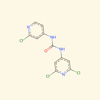 O=C(Nc1ccnc(Cl)c1)Nc1cc(Cl)nc(Cl)c1